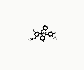 C#CCc1cc(F)cc([C@](Cc2ccccc2)(NC(=S)c2ccc(F)c(C(F)(F)F)c2)c2ccc(F)cc2)c1